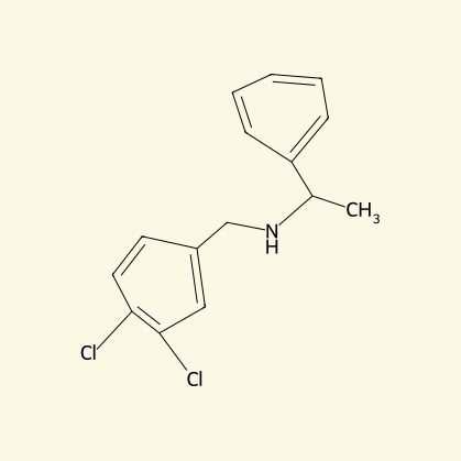 CC(NCc1ccc(Cl)c(Cl)c1)c1ccccc1